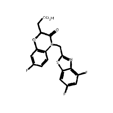 O=C(O)CC1Oc2cc(F)ccc2N(Cc2nc3c(F)cc(F)cc3s2)C1=O